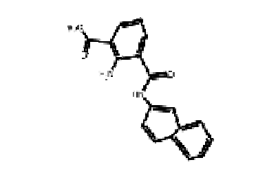 CC(C)COC(=O)c1cccc(C(=O)Nc2ccc3ccccc3c2)c1N